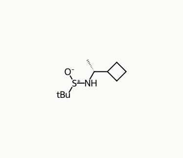 C[C@@H](N[S+]([O-])C(C)(C)C)C1CCC1